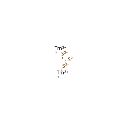 [S-2].[S-2].[S-2].[Tm+3].[Tm+3]